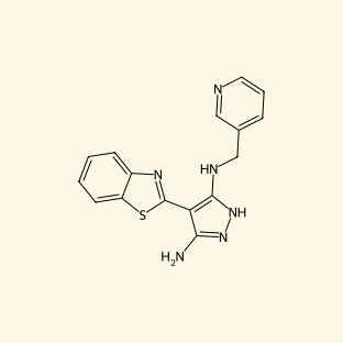 Nc1n[nH]c(NCc2cccnc2)c1-c1nc2ccccc2s1